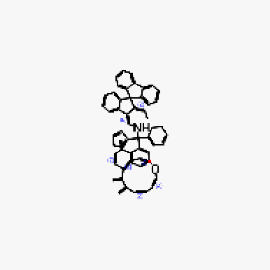 C=C1/C=C\C=C/O\C=C/C=C(/C=C\C(=C)c2ccccc2C(N/C=C2\C(=C/C)C3(c4ccccc42)c2ccccc2-c2ccccc23)(C2=CCC=C2)C2=CC=CCC2)C1=C